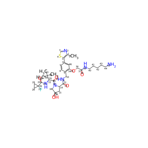 Cc1ncsc1-c1ccc(CNC(=O)C2C[C@@H](O)CN2C(=O)[C@@H](NC(=O)C2(F)CC2)C(C)(C)C)c(OCC(=O)NCCCCCN)c1